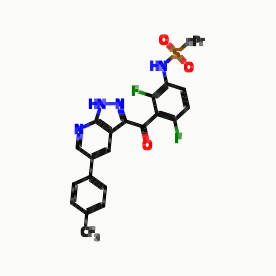 CCCS(=O)(=O)Nc1ccc(F)c(C(=O)c2n[nH]c3ncc(-c4ccc(C(F)(F)F)cc4)cc23)c1F